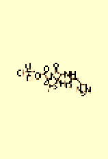 CC12CC1(C(=O)OCC(Cl)(Cl)Cl)N1C(=O)C(NC(=O)Cc3cnsn3)[C@@H]1S2